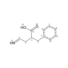 N=CCC(Cc1ccccc1)C(=O)O